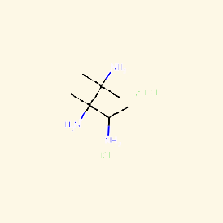 CC(N)C(C)(N)C(C)(C)N.Cl.Cl.Cl